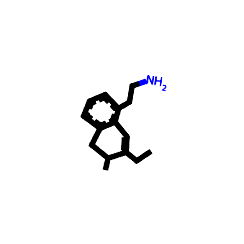 CCC1=Cc2c(CCN)cccc2CC1C